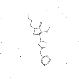 CCCCC1SC(C2CCN(Cc3ccccc3)C2)=C(OC)C1=O